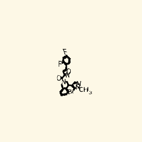 Cn1ncc(C2CN(C(=O)c3cc(-c4ccc(F)cc4F)on3)Cc3ccccc32)c1Br